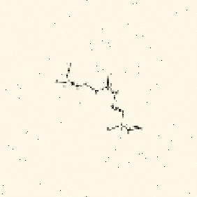 C=CC(C)C=CC=C(C)CCC=C(C)C